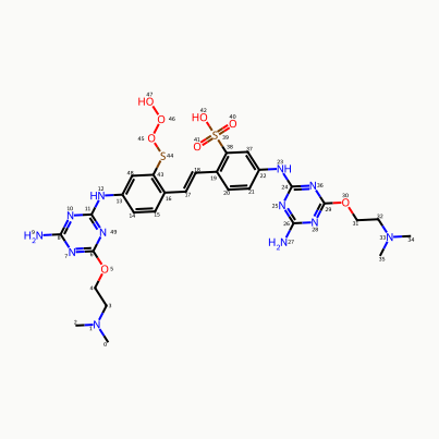 CN(C)CCOc1nc(N)nc(Nc2ccc(/C=C/c3ccc(Nc4nc(N)nc(OCCN(C)C)n4)cc3S(=O)(=O)O)c(SOOO)c2)n1